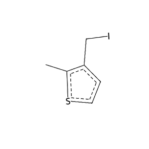 Cc1sccc1CI